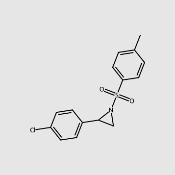 Cc1ccc(S(=O)(=O)N2CC2c2ccc(Cl)cc2)cc1